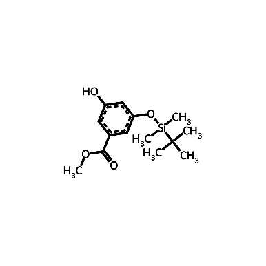 COC(=O)c1cc(O)cc(O[Si](C)(C)C(C)(C)C)c1